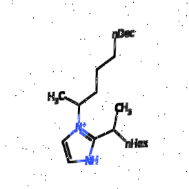 CCCCCCCCCCCCCC(C)[n+]1cc[nH]c1C(C)CCCCCC